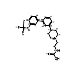 O=C(O)NCCN1CCN(c2cccc(-c3cccc(OC(F)(F)F)c3)n2)CC1